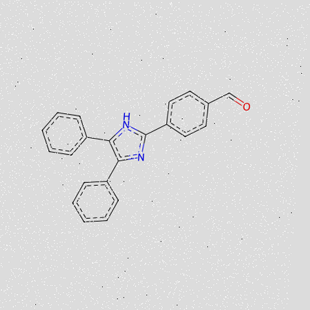 O=Cc1ccc(-c2nc(-c3ccccc3)c(-c3ccccc3)[nH]2)cc1